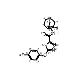 O=C(N[C@H]1CN2CCC1CC2)c1nnc(Oc2ccc(F)cc2)s1